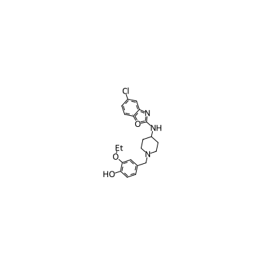 CCOc1cc(CN2CCC(Nc3nc4cc(Cl)ccc4o3)CC2)ccc1O